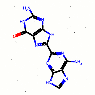 Nc1nc2[nH]c(-c3nc(N)c4nc[nH]c4n3)nc2c(=O)[nH]1